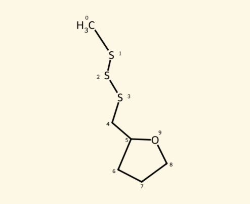 CSSSCC1CCCO1